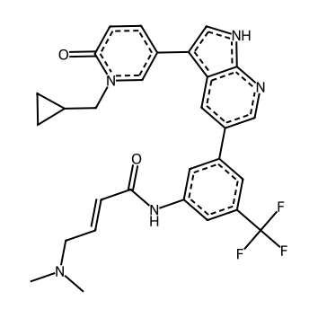 CN(C)C/C=C/C(=O)Nc1cc(-c2cnc3[nH]cc(-c4ccc(=O)n(CC5CC5)c4)c3c2)cc(C(F)(F)F)c1